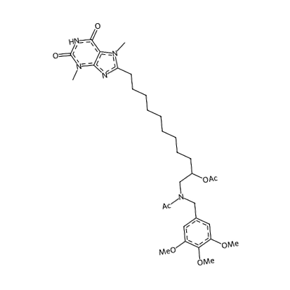 COc1cc(CN(CC(CCCCCCCCCc2nc3c(c(=O)[nH]c(=O)n3C)n2C)OC(C)=O)C(C)=O)cc(OC)c1OC